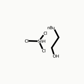 CCCCCCO.[Cl][SnH]([Cl])[Cl]